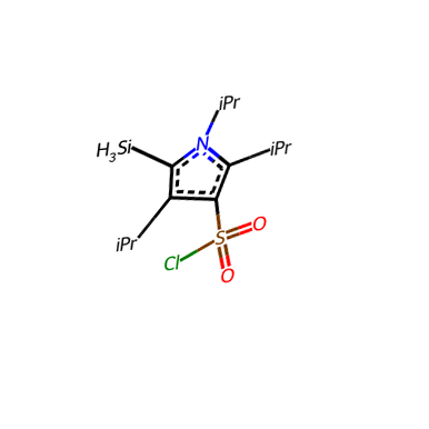 CC(C)c1c(S(=O)(=O)Cl)c(C(C)C)n(C(C)C)c1[SiH3]